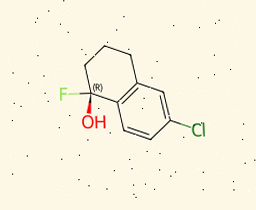 O[C@@]1(F)CCCc2cc(Cl)ccc21